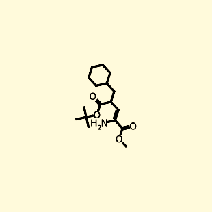 COC(=O)C(N)=CC(CC1CCCCC1)C(=O)OC(C)(C)C